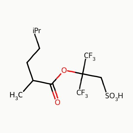 CC(C)CCC(C)C(=O)OC(CS(=O)(=O)O)(C(F)(F)F)C(F)(F)F